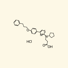 Cl.O=C(O)CCN(c1nc(-c2ccc(OCCCc3ccccc3)cc2)cs1)C1CCCC1